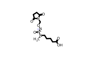 CN(CCCCC(=O)O)/[N+]([O-])=N/OCN1C(=O)CCC1=O